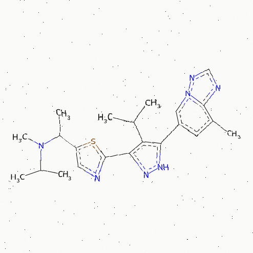 Cc1cc(-c2[nH]nc(-c3ncc(C(C)N(C)C(C)C)s3)c2C(C)C)cn2ncnc12